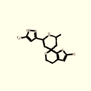 CC1CC2(CC(c3cc(C(F)(F)F)[nH]n3)N1)OCCc1cc(Cl)sc12